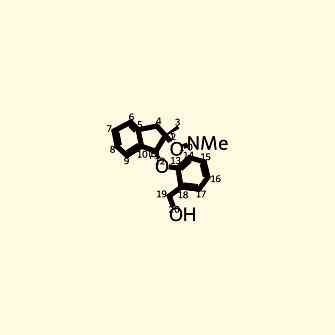 CNO[C@@]1(C)Cc2ccccc2[C@@H]1Oc1ccccc1CO